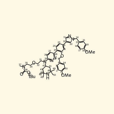 COc1ccc(COc2cc(-c3cnn(Cc4ccc(OC)cc4)c3)ccc2-c2ccc(N(CCOCCN(C)C(=O)OC(C)(C)C)C3CC(C)(C)NC(C)(C)C3)nn2)cc1